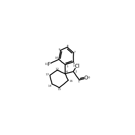 O=CC(Cl)C1(c2ccccc2F)CCCCC1